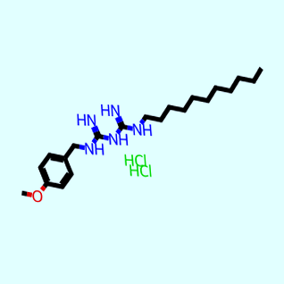 CCCCCCCCCCCNC(=N)NC(=N)NCc1ccc(OC)cc1.Cl.Cl